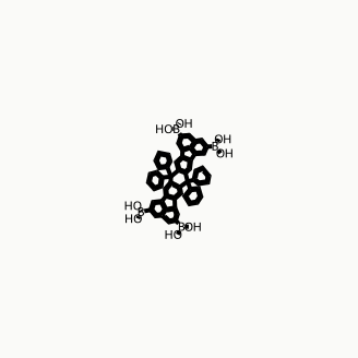 OB(O)c1cc2c3c(cc(B(O)O)cc3c1)-c1cc3c(cc1-2)C(c1ccccc1)(c1ccccc1)c1cc2c(cc1C3(c1ccccc1)c1ccccc1)-c1cc(B(O)O)cc3cc(B(O)O)cc-2c13